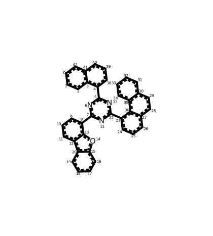 c1ccc2c(-c3nc(-c4cccc5c4oc4ccccc45)nc(-c4cccc5ccc6ccccc6c45)n3)cccc2c1